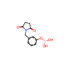 O=C1CCC(=O)N1Cc1cccc(OB(O)O)c1